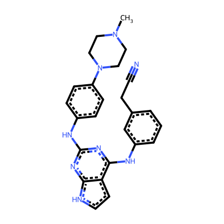 CN1CCN(c2ccc(Nc3nc(Nc4cccc(CC#N)c4)c4cc[nH]c4n3)cc2)CC1